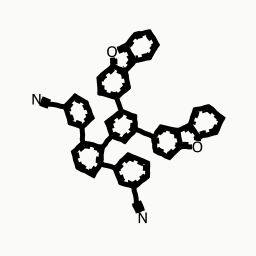 N#Cc1cccc(-c2cccc(-c3cccc(C#N)c3)c2-c2cc(-c3ccc4oc5ccccc5c4c3)cc(-c3ccc4oc5ccccc5c4c3)c2)c1